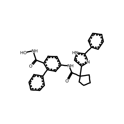 O=C(NO)c1ccc(NC(=O)C2(c3c[nH]c(-c4ccccc4)n3)CCCC2)cc1-c1ccccc1